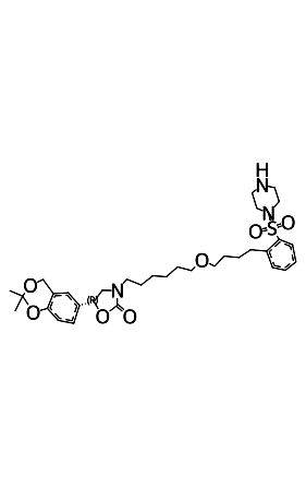 CC1(C)OCc2cc([C@@H]3CN(CCCCCCOCCCCc4ccccc4S(=O)(=O)N4CCNCC4)C(=O)O3)ccc2O1